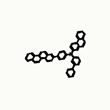 c1ccc(-c2cccc(N(c3ccc(-c4ccc5c(ccc6c7ccccc7ccc56)c4)cc3)c3ccc4c(ccc5ccccc54)c3)c2)cc1